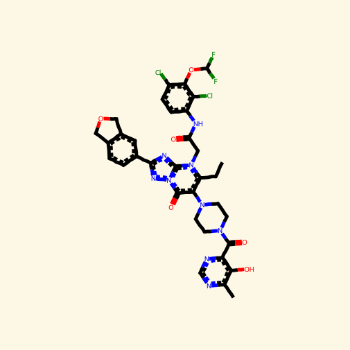 CCc1c(N2CCN(C(=O)c3ncnc(C)c3O)CC2)c(=O)n2nc(-c3ccc4c(c3)COC4)nc2n1CC(=O)Nc1ccc(Cl)c(OC(F)F)c1Cl